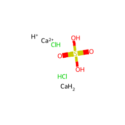 Cl.Cl.O=S(=O)(O)O.[Ca+2].[CaH2].[H+]